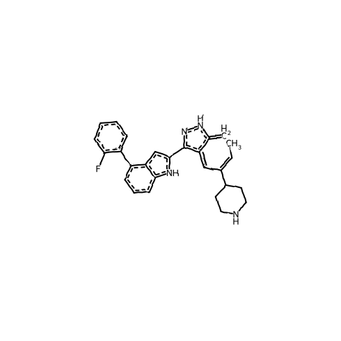 C=c1[nH]nc(-c2cc3c(-c4ccccc4F)cccc3[nH]2)/c1=C/C(=C\C)C1CCNCC1